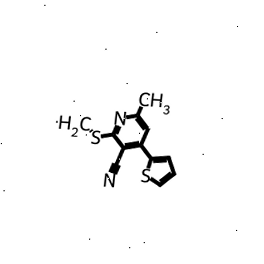 [CH2]Sc1nc(C)cc(-c2cccs2)c1C#N